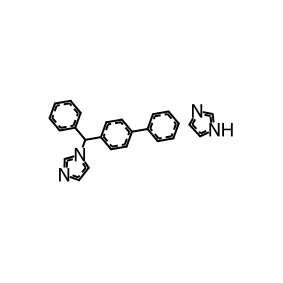 c1c[nH]cn1.c1ccc(-c2ccc(C(c3ccccc3)n3ccnc3)cc2)cc1